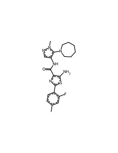 Cc1ccc(-c2nc(C(=O)Nc3cnn(C)c3N3CCCCCC3)c(N)s2)c(F)c1